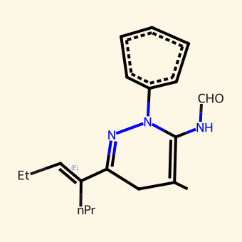 CC/C=C(\CCC)C1=NN(c2ccccc2)C(NC=O)=C(C)C1